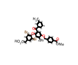 COC(=O)c1ccc(COc2cc(C(=O)c3cccc(C)c3)c(Oc3c(Br)cc(CC(=O)O)cc3Br)cc2C(C)C)cc1